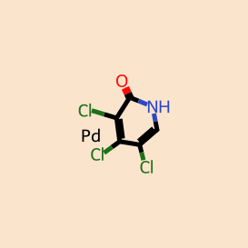 O=c1[nH]cc(Cl)c(Cl)c1Cl.[Pd]